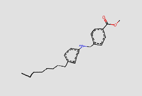 CCCCCCCCc1ccc(NCc2ccc(C(=O)OC)cc2)cc1